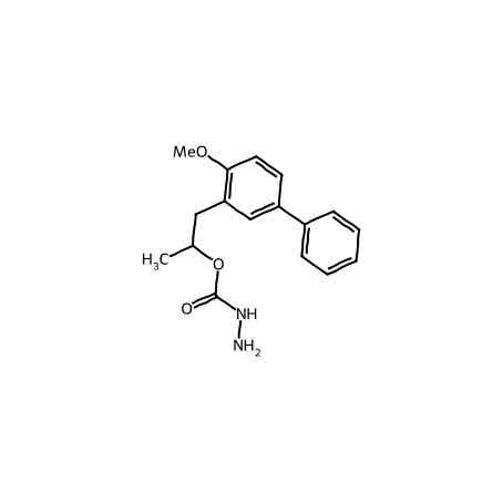 COc1ccc(-c2ccccc2)cc1CC(C)OC(=O)NN